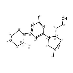 Cc1nc(N2CC(C)OC[C@H]2CCO)nc(N2CCOC[C@H]2C)n1